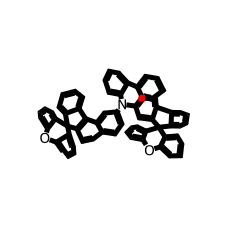 c1ccc(-c2ccccc2N(c2ccc3c(c2)C2(c4ccccc4Oc4ccccc42)c2ccccc2-3)c2ccc3ccc4c(c3c2)-c2ccccc2C42c3ccccc3Oc3ccccc32)cc1